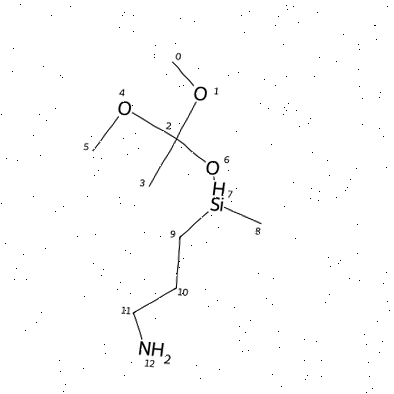 COC(C)(OC)O[SiH](C)CCCN